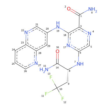 NC(=O)c1ncc(N[C@H](CC(F)(F)F)C(N)=O)nc1Nc1cnc2cccnc2c1